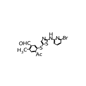 CC(=O)c1cc(C)c(C=O)cc1Sc1cnc(Nc2cccc(Br)n2)s1